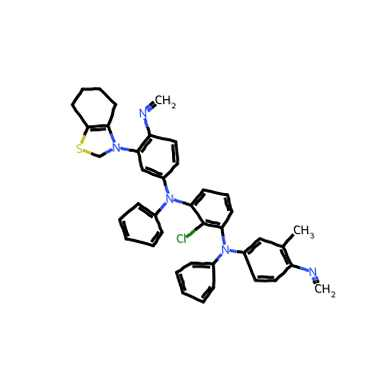 C=Nc1ccc(N(c2ccccc2)c2cccc(N(c3ccccc3)c3ccc(N=C)c(N4CSC5=C4CCCC5)c3)c2Cl)cc1C